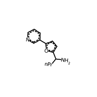 CCCC(N)c1ccc(-c2cccnc2)o1